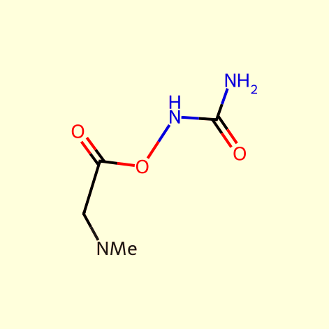 CNCC(=O)ONC(N)=O